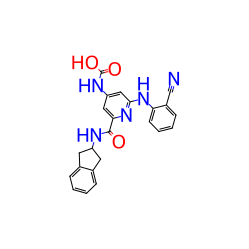 N#Cc1ccccc1Nc1cc(NC(=O)O)cc(C(=O)NC2Cc3ccccc3C2)n1